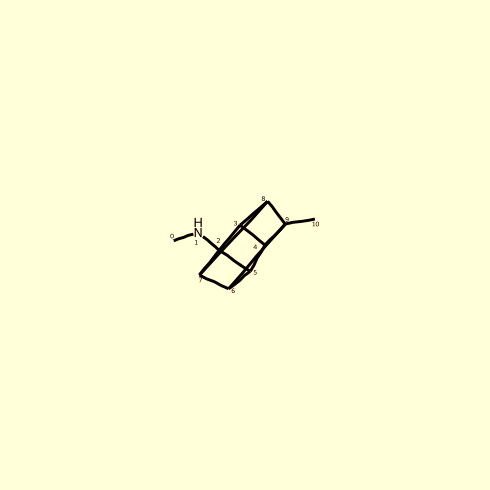 CNC12C3C4C1C1C2C3C41C